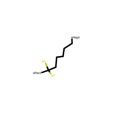 CCCCCCCCCCCCC(S)(S)CCCCC